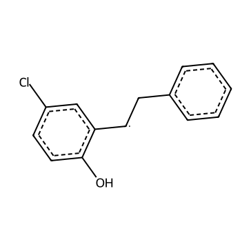 Oc1ccc(Cl)cc1[CH]Cc1ccccc1